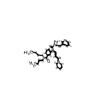 CCCCN(CCCC)C(=O)c1ccc2nc(NCc3cccnc3)n(CCCN3CCCCC3)c2c1